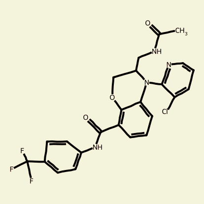 CC(=O)NCC1COc2c(C(=O)Nc3ccc(C(F)(F)F)cc3)cccc2N1c1ncccc1Cl